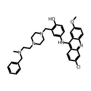 COc1ccc2nc3cc(Cl)ccc3c(Nc3ccc(O)c(CN4CCN(CCN(C)Cc5ccccc5)CC4)c3)c2c1